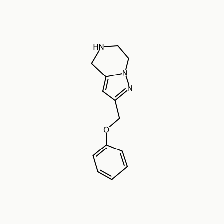 c1ccc(OCc2cc3n(n2)CCNC3)cc1